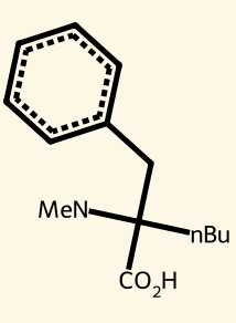 CCCCC(Cc1ccccc1)(NC)C(=O)O